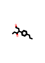 CCCc1ccc(C(CC=O)C(=O)CC)cc1